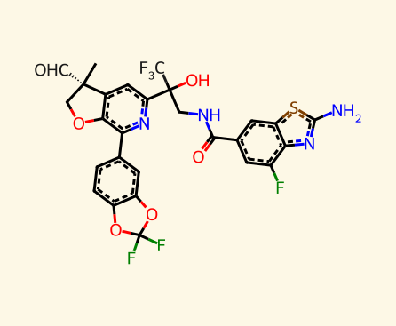 C[C@]1(C=O)COc2c1cc(C(O)(CNC(=O)c1cc(F)c3nc(N)sc3c1)C(F)(F)F)nc2-c1ccc2c(c1)OC(F)(F)O2